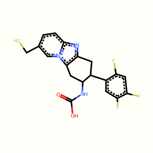 O=C(O)NC1Cc2c(nc3ccc(CS)cn23)CC1c1cc(F)c(F)cc1F